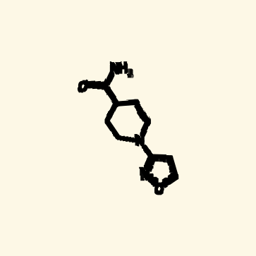 NC(=O)C1CCN(c2ccon2)CC1